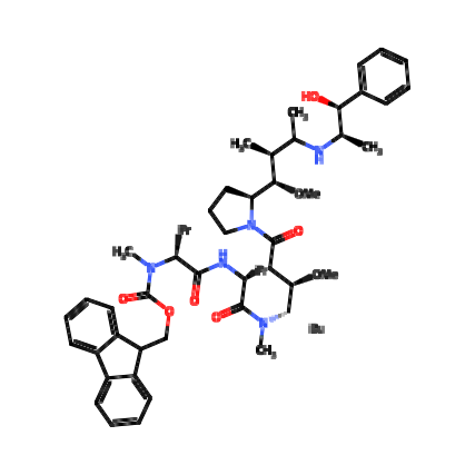 CC[C@H](C)[C@@H]([C@@H](CC(=O)N1CCC[C@H]1[C@H](OC)[C@@H](C)C(C)N[C@H](C)[C@@H](O)c1ccccc1)OC)N(C)C(=O)[C@@H](NC(=O)[C@H](C(C)C)N(C)C(=O)OCC1c2ccccc2-c2ccccc21)C(C)C